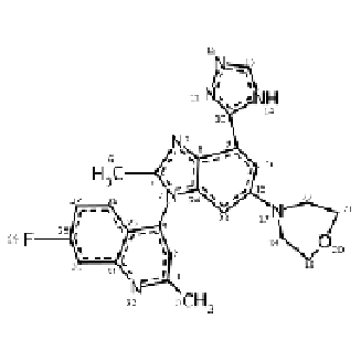 Cc1cc(-n2c(C)nc3c(-c4nnc[nH]4)cc(N4CCOCC4)cc32)c2ccc(F)cc2n1